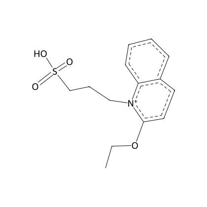 CCOc1ccc2ccccc2[n+]1CCCS(=O)(=O)O